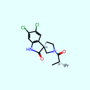 CC(C)[C@H](C)C(=O)N1CC[C@]2(C1)C(=O)Nc1cc(Cl)c(Cl)cc12